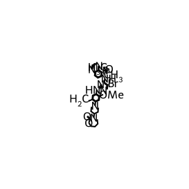 C=Cc1cc(Nc2ncc(Br)c(Nc3ccc4nccnc4c3P(C)(C)=O)n2)c(OC)cc1N1CCC(N2CCCCOC2=O)CC1